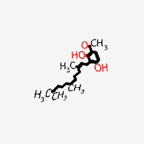 CC(=O)c1ccc(O)c(CC=C(C)CCC=C(C)CCC=C(C)C)c1O